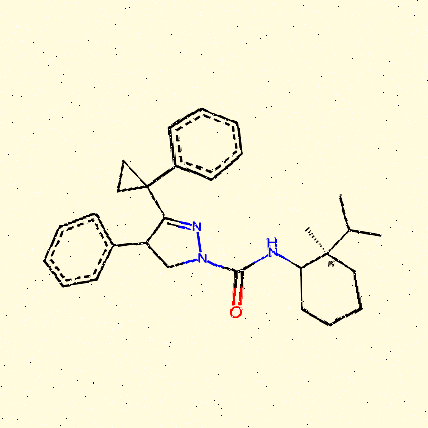 CC(C)[C@@]1(C)CCCCC1NC(=O)N1CC(c2ccccc2)C(C2(c3ccccc3)CC2)=N1